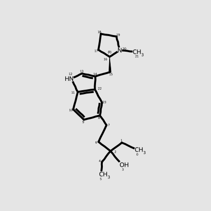 CCC(O)(CC)CCc1ccc2[nH]cc(C[C@H]3CCCN3C)c2c1